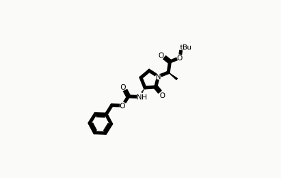 C[C@H](C(=O)OC(C)(C)C)N1CC[C@@H](NC(=O)OCc2ccccc2)C1=O